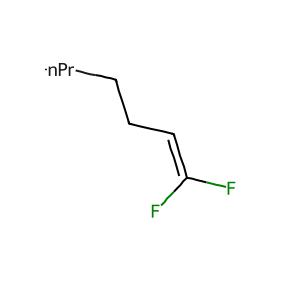 CC[CH]CCC=C(F)F